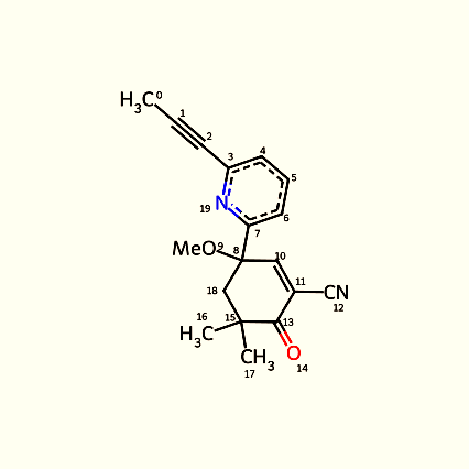 CC#Cc1cccc(C2(OC)C=C(C#N)C(=O)C(C)(C)C2)n1